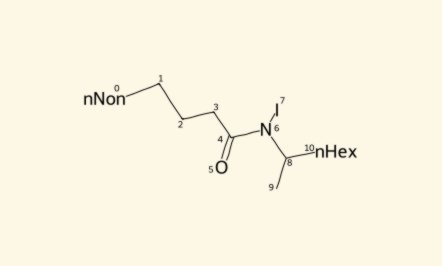 CCCCCCCCCCCCC(=O)N(I)C(C)CCCCCC